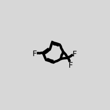 FC1=C\C=C/C2C(/C=C\1)C2(F)F